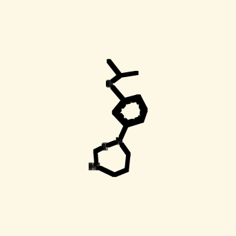 CC(C)Oc1cccc(N2CCCNCC2)c1